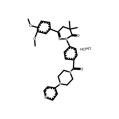 COc1ccc(C2=NN(c3ccc(C(=O)N4CCN(c5ccncc5)CC4)cc3)C(=O)C(C)(C)C2)cc1OC.Cl.Cl